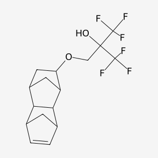 OC(COC1CC2CC1C1C3C=CC(C3)C21)(C(F)(F)F)C(F)(F)F